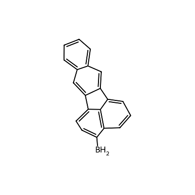 Bc1ccc2c3c(cccc13)-c1cc3ccccc3cc1-2